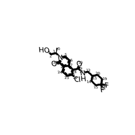 C[C@H](CO)n1ccc2c(C(=O)NCC3CCC(F)(F)CC3)c(Cl)ccc2c1=O